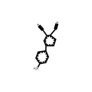 N#Cc1ccc(-c2ccc(N)cc2)cc1C#N